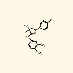 CC(O)(CSc1ccc(F)cc1)C(=O)Nc1ccc([N+](=O)[O-])c(C(F)(F)F)c1